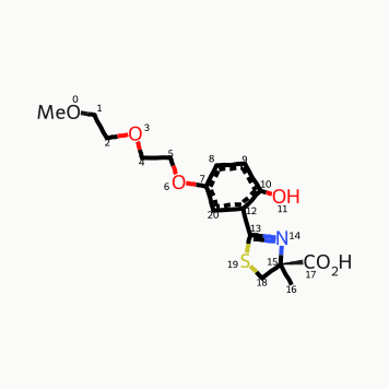 COCCOCCOc1ccc(O)c(C2=N[C@@](C)(C(=O)O)CS2)c1